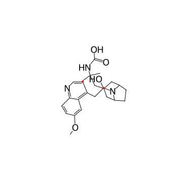 COc1ccc2nccc(CC(O)N3C4CCC3CC(CC(C)(C)NC(=O)O)C4)c2c1